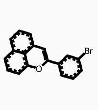 Brc1cccc(C2=Cc3cccc4cccc(c34)O2)c1